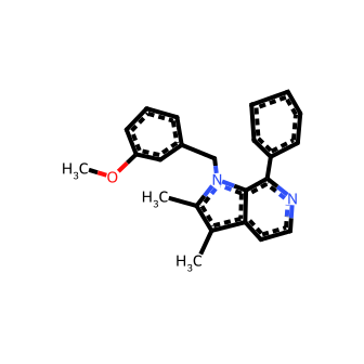 COc1cccc(Cn2c(C)c(C)c3ccnc(-c4ccccc4)c32)c1